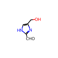 O=Cc1nc(CO)c[nH]1